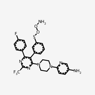 NOOSc1cccc(-c2c(-c3ccc(F)cc3)nc(C(F)(F)F)nc2N2CCN(c3ccc(N)cn3)CC2)c1